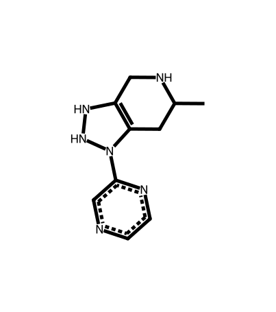 CC1CC2=C(CN1)NNN2c1cnccn1